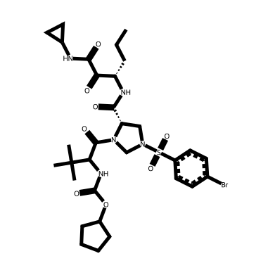 CCC[C@H](NC(=O)[C@@H]1CN(S(=O)(=O)c2ccc(Br)cc2)CN1C(=O)C(NC(=O)OC1CCCC1)C(C)(C)C)C(=O)C(=O)NC1CC1